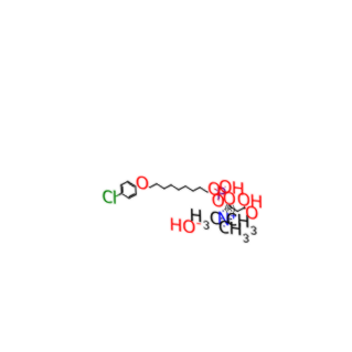 C[N+](C)(C)C[C@@H](CC(=O)O)OP(=O)(O)OCCCCCCCCCOc1ccc(Cl)cc1.[OH-]